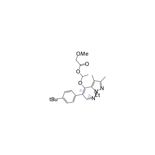 CCn1nc(C)c(C)c1/C(OC(C)OC(=O)COC)=C(\C=N/C)c1ccc(C(C)(C)C)cc1